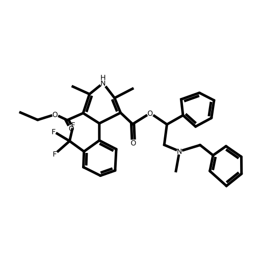 CCOC(=O)C1=C(C)NC(C)=C(C(=O)OC(CN(C)Cc2ccccc2)c2ccccc2)C1c1ccccc1C(F)(F)F